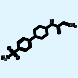 C=CC(=O)NC1CCC(c2ccc(S(N)(=O)=O)cc2)CC1